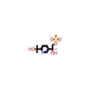 CC(C)(O)c1ccc([C@](C)(O)COS(C)(=O)=O)cn1